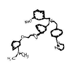 COc1cccc(CN(Cc2ccc(-n3cccn3)cc2)c2ccc(OCCOc3cccc(N(C)C)c3)cc2)c1